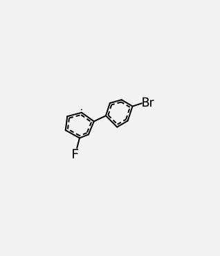 Fc1cc[c]c(-c2ccc(Br)cc2)c1